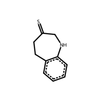 S=C1CCc2ccccc2NC1